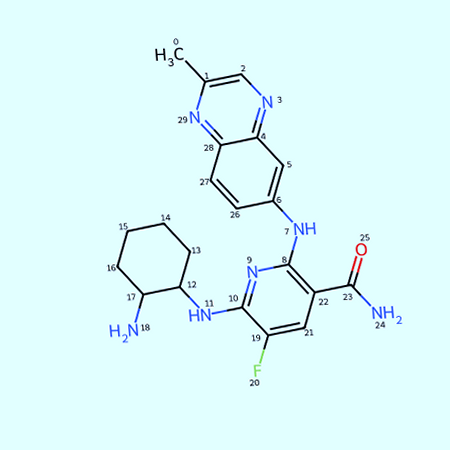 Cc1cnc2cc(Nc3nc(NC4CCCCC4N)c(F)cc3C(N)=O)ccc2n1